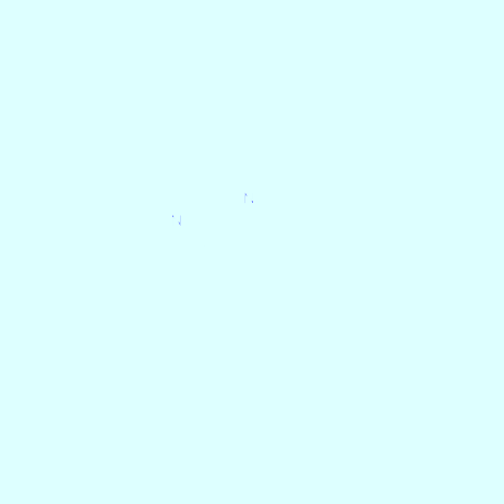 Cc1ccc(-c2nc3c(nc2-c2ccc(C)cc2)=CCCC=3)cc1